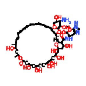 COC(=O)[C@@H](Cc1c[nH]cn1)NC(=O)C1[C@@H]2CC(O[C@@H]3OCC(O)[C@H](N)C3O)/C=C/C=C/C=C/C=C/C=C/C=C/C=C/[C@H](C)C(O)C[C@H](C)OC(=O)CC(O)CC(O)CCC(O)C(O)CC(O)CC(O)(C[C@@H]1O)O2